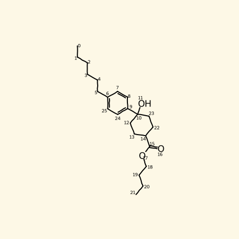 CCCCCCc1ccc(C2(O)CCC(C(=O)OCCCC)CC2)cc1